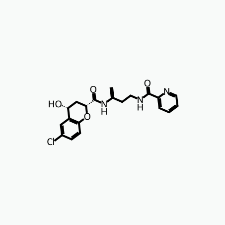 C=C(CCNC(=O)c1ccccn1)NC(=O)[C@H]1C[C@@H](O)c2cc(Cl)ccc2O1